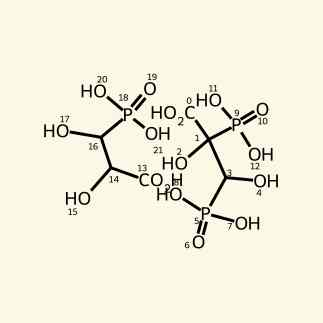 O=C(O)C(O)(C(O)P(=O)(O)O)P(=O)(O)O.O=C(O)C(O)C(O)P(=O)(O)O